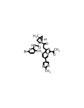 CC(=O)c1nc(CC(=O)N2[C@H](C(=O)Nc3nc(Br)ccc3C)C[C@@]3(C)C[C@@H]23)c2ccc(-c3cnc(C)nc3)cn12